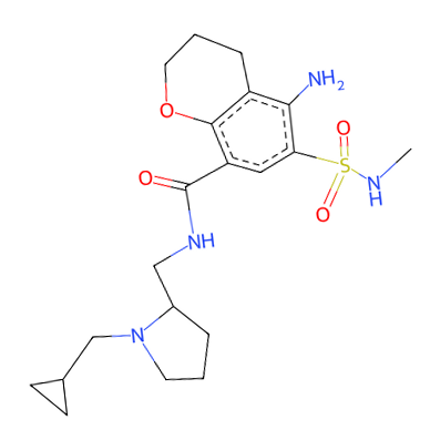 CNS(=O)(=O)c1cc(C(=O)NCC2CCCN2CC2CC2)c2c(c1N)CCCO2